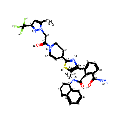 Cc1cc(C(F)(F)F)nn1CC(=O)N1CCC(c2nc(-c3cccc(C(N)=O)c3C(=O)N(C)[C@@H]3CCCc4ccccc43)cs2)CC1